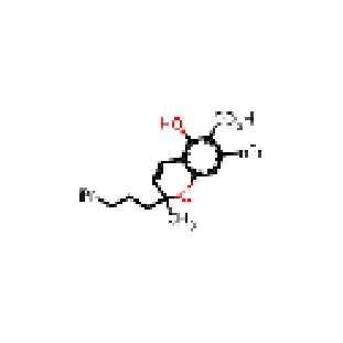 CCCc1cc2c(c(O)c1C(=O)O)C=CC(C)(CCCC(C)C)O2